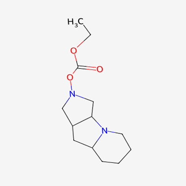 CCOC(=O)ON1CC2CC3CCCCN3C2C1